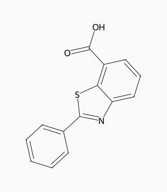 O=C(O)c1cccc2nc(-c3ccccc3)sc12